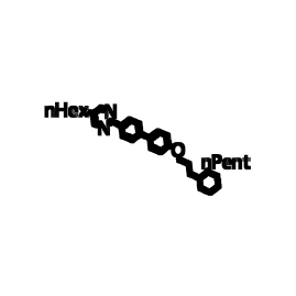 CCCCCCc1cnc(-c2ccc(-c3ccc(OCCCC4CCCCC4CCCCC)cc3)cc2)nc1